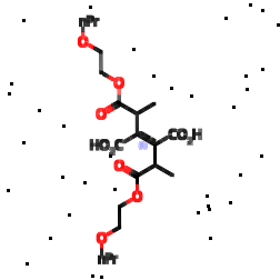 CCCOCCOC(=O)C(C)/C(C(=O)O)=C(\C(=O)O)C(C)C(=O)OCCOCCC